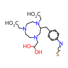 O=C(O)CN1CCN(CC(O)O)CC(Cc2ccc(N=C=S)cc2)N(CC(=O)O)CC1